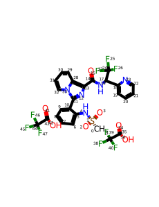 CS(=O)(=O)Nc1ccccc1-c1nc(C(=O)NC(c2ccccn2)C(F)(F)F)c2ccccn12.O=C(O)C(F)(F)F.O=C(O)C(F)(F)F